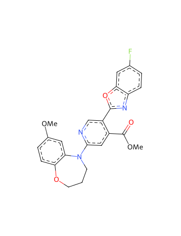 COC(=O)c1cc(N2CCCOc3ccc(OC)cc32)ncc1-c1nc2ccc(F)cc2o1